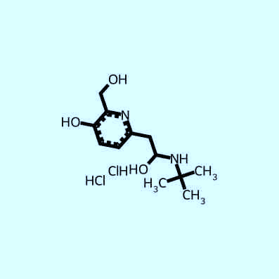 CC(C)(C)NC(O)Cc1ccc(O)c(CO)n1.Cl.Cl